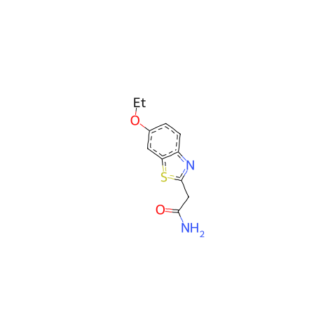 CCOc1ccc2nc(CC(N)=O)sc2c1